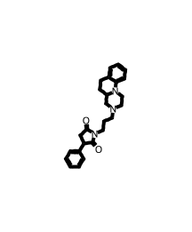 O=C1CC(c2ccccc2)C(=O)N1CCCN1CCN2c3ccccc3CCC2C1